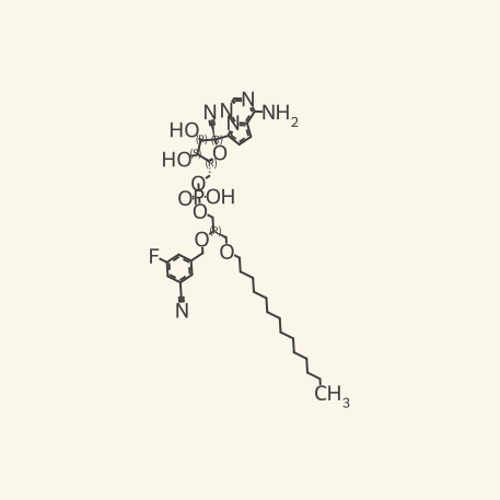 CCCCCCCCCCCCCCOC[C@H](COP(=O)(O)OC[C@H]1O[C@@](C#N)(c2ccc3c(N)ncnn23)[C@H](O)[C@@H]1O)OCc1cc(F)cc(C#N)c1